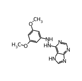 COc1cc(NNc2ncnc3nc[nH]c23)cc(OC)c1